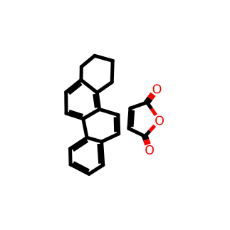 O=C1C=CC(=O)O1.c1ccc2c(c1)ccc1c3c(ccc12)CCCC3